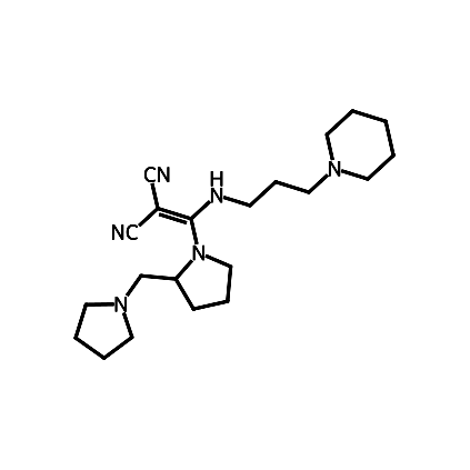 N#CC(C#N)=C(NCCCN1CCCCC1)N1CCCC1CN1CCCC1